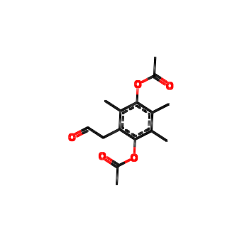 CC(=O)Oc1c(C)c(C)c(OC(C)=O)c(CC=O)c1C